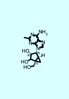 Cc1nc(N)c2ncn([C@@H]3[C@H]4C[C@]4(CO)C(O)[C@@H]3O)c2n1